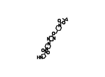 CC1(OC(=O)N2CCC(COc3cnc(N4CCN(S(=O)(=O)[C@@H]5CCNC5)CC4)cn3)CC2)CC1